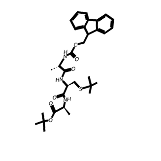 C[C@H](NC(=O)OCC1c2ccccc2-c2ccccc21)C(=O)N[C@@H](CSC(C)(C)C)C(=O)N[C@@H](C)C(=O)OC(C)(C)C